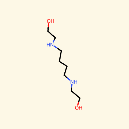 OCCNCCCCNCCO